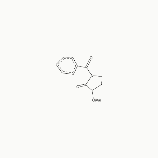 COC1CCN(C(=O)c2ccccc2)C1=O